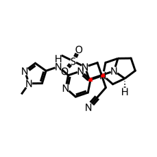 Cn1cc(Nc2nccc(N3CC4CC[C@@H](C3)N4C3(CC#N)CN(S(C)(=O)=O)C3)n2)cn1